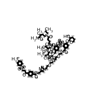 CCCN(CC[C@@H](C)C(N)=O)C(=O)CCCN(C)C(=O)C(NC(=O)[C@H](C(C)C)N(C)C(=O)OCc1ccc(OS(=O)(=O)Oc2cc(C(=O)NCCOCCOCCOCCn3cc(CNC(=O)c4ccc(C(=O)CCS(=O)(=O)c5ccc(C)cc5)cc4)nn3)ccc2OC2OCCC[C@H]2O)cc1)C(C)C